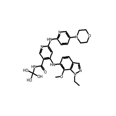 CCn1ncc2ccc(Nc3cc(Nc4ccc(N5CCOCC5)cn4)ncc3C(=O)NC(O)(O)O)c(OC)c21